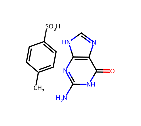 Cc1ccc(S(=O)(=O)O)cc1.Nc1nc2[nH]cnc2c(=O)[nH]1